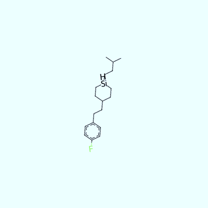 CC(C)CC[SiH]1CCC(CCc2ccc(F)cc2)CC1